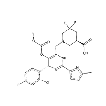 COC(=O)OC1=C(CN2C[C@H](C(=O)O)CC(F)(F)C2)NC(c2nc(C)cs2)=N[C@@H]1c1ccc(F)cc1Cl